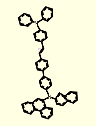 C(=C\c1ccc(N(c2ccccc2)c2ccccc2)cc1)/c1ccc(-c2ccc(N(c3ccc4ccccc4c3)c3cc4ccccc4c4ccccc34)cc2)cc1